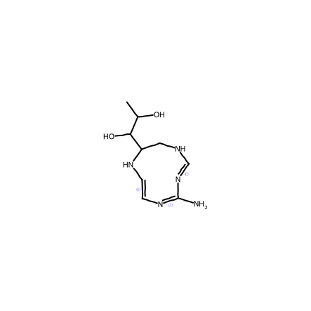 CC(O)C(O)C1CN/C=N/C(N)=N\C=C\N1